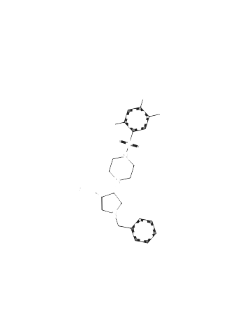 CC(=O)O[C@@H]1CN(Cc2ccccc2)C[C@H]1N1CCN(S(=O)(=O)c2cc(C)c(Cl)cc2C)CC1